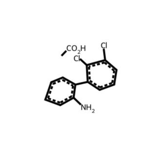 CC(=O)O.Nc1ccccc1-c1cccc(Cl)c1Cl